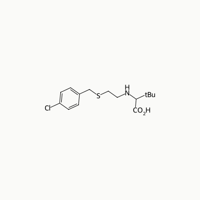 CC(C)(C)C(NCCSCc1ccc(Cl)cc1)C(=O)O